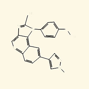 COc1ccc(-n2c(C)nc3cnc4ccc(-c5cnn(C)c5)cc4c32)cc1